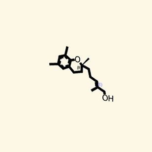 C/C(=C\CC[C@]1(C)CCc2cc(C)cc(C)c2O1)CO